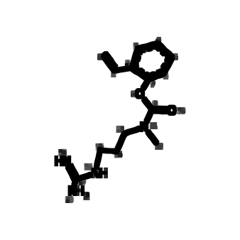 C=Cc1ccccc1OC(=O)N(C)CCCNC(=N)N